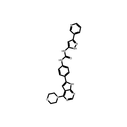 O=C(Nc1ccc(-c2cc3c(N4CCOCC4)ncnc3[nH]2)cc1)Nc1cc(-c2cccnc2)n[nH]1